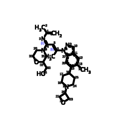 C=C(C)/N=C(\C=C(/C)n1ncc2cc(C)c(C3CCN(C4COC4)CC3)cc21)N1CCOC(CO)C1